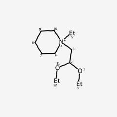 CCOC(C[N+]1(CC)CCCCC1)OCC